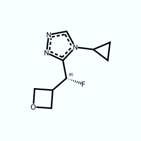 F[C@@H](c1nncn1C1CC1)C1COC1